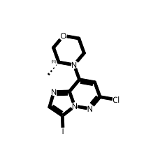 C[C@@H]1COCCN1c1cc(Cl)nn2c(I)cnc12